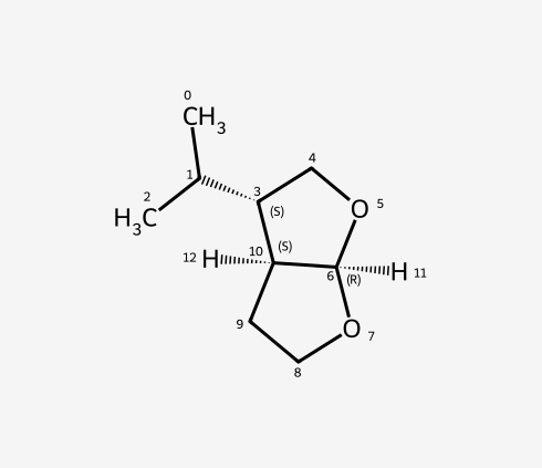 CC(C)[C@@H]1CO[C@H]2OCC[C@H]21